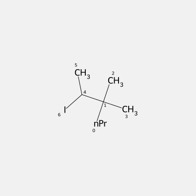 CCCC(C)(C)C(C)I